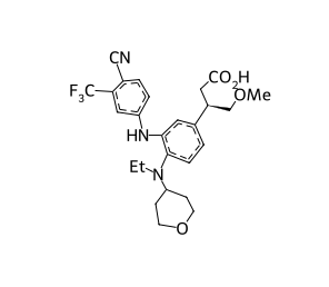 CCN(c1ccc([C@H](COC)CC(=O)O)cc1Nc1ccc(C#N)c(C(F)(F)F)c1)C1CCOCC1